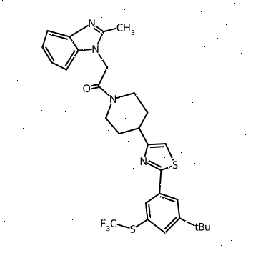 Cc1nc2ccccc2n1CC(=O)N1CCC(c2csc(-c3cc(SC(F)(F)F)cc(C(C)(C)C)c3)n2)CC1